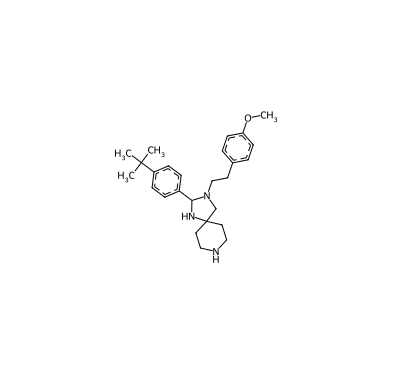 COc1ccc(CCN2CC3(CCNCC3)NC2c2ccc(C(C)(C)C)cc2)cc1